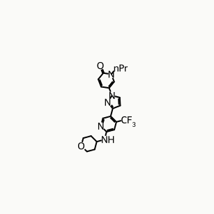 CCCn1cc(-n2ccc(-c3cnc(NC4CCOCC4)cc3C(F)(F)F)n2)ccc1=O